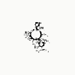 CO[C@]1(C)C[C@@H](C)CN(C)[C@@H]([C@H]2CCNC2)COC(O)C(C)(C)C(=O)[C@H](C)[C@H]1O[C@@H]1O[C@H](C)C[C@H](N(C)C)[C@H]1O